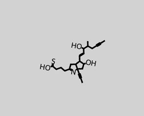 CC#CCC(C)C(O)C=CC1C(O)CC2(C#CC)N=C(CCCC(O)=S)CC12